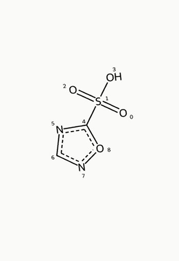 O=S(=O)(O)c1ncno1